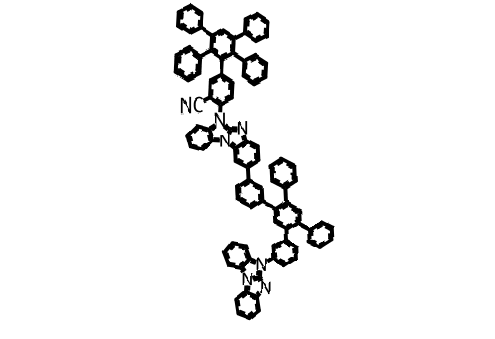 N#Cc1cc(-c2c(-c3ccccc3)c(-c3ccccc3)cc(-c3ccccc3)c2-c2ccccc2)ccc1-n1c2ccccc2n2c3cc(-c4cccc(-c5cc(-c6cccc(-n7c8ccccc8n8c9ccccc9nc78)c6)c(-c6ccccc6)cc5-c5ccccc5)c4)ccc3nc12